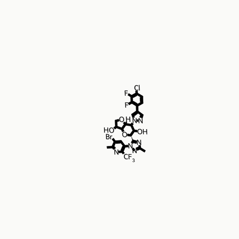 Cc1nc([C@@H]2OC3C(O)CO[C@@H]3C(n3cc(-c4ccc(Cl)c(F)c4F)cn3)C2O)n(-c2cc(Br)c(C)nc2C(F)(F)F)n1